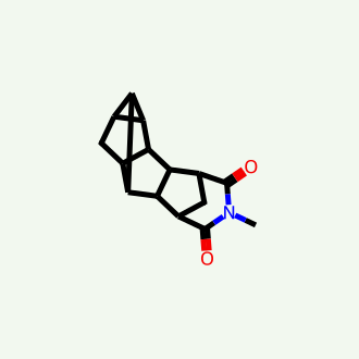 CN1C(=O)C2CC(C1=O)C1C2C2C3CC4C2C4C31